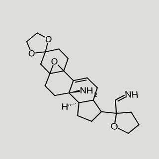 N=CC1(C2CC[C@@H]3C2CC=C2C45CCC6(CC4(CC[C@]23N)O5)OCCO6)CCCO1